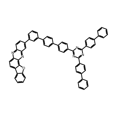 c1ccc(-c2ccc(-c3nc(-c4ccc(-c5ccccc5)cc4)nc(-c4ccc(-c5ccc(-c6cccc(-c7ccc8nc9ccc%10c%11ccccc%11oc%10c9nc8c7)c6)cc5)cc4)n3)cc2)cc1